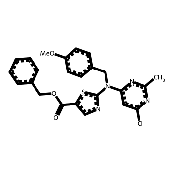 COc1ccc(CN(c2cc(Cl)nc(C)n2)c2ncc(C(=O)OCc3ccccc3)s2)cc1